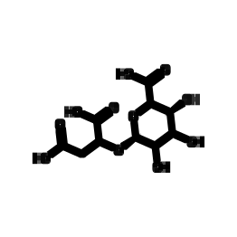 O=C(O)CC(O[C@H]1OC(C(=O)O)[C@@H](O)C(O)C1O)C(=O)O